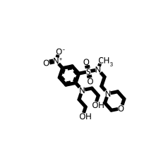 CN(CCN1CCOCC1)S(=O)(=O)c1cc([N+](=O)[O-])ccc1N(CCO)CCO